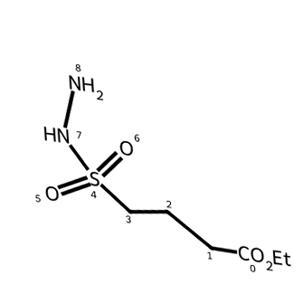 CCOC(=O)CCCS(=O)(=O)NN